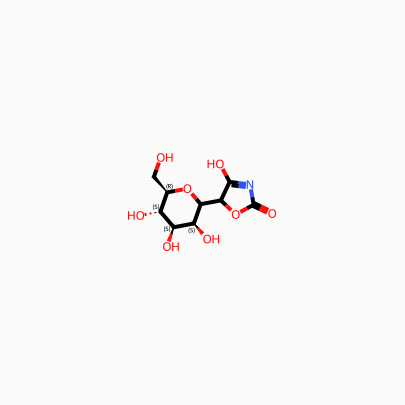 O=C1N=C(O)C(C2O[C@H](CO)[C@@H](O)[C@H](O)[C@@H]2O)O1